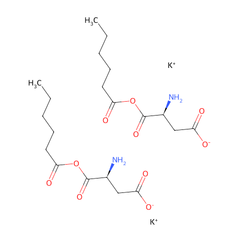 CCCCCC(=O)OC(=O)[C@@H](N)CC(=O)[O-].CCCCCC(=O)OC(=O)[C@@H](N)CC(=O)[O-].[K+].[K+]